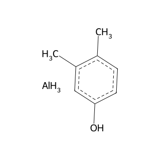 Cc1ccc(O)cc1C.[AlH3]